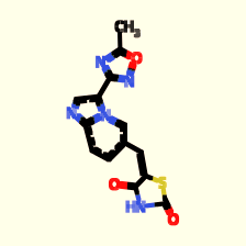 Cc1nc(-c2cnc3ccc(C=C4SC(=O)NC4=O)cn23)no1